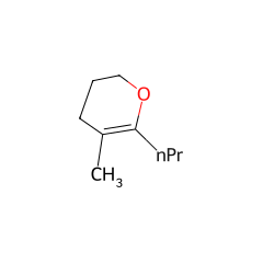 CCCC1=C(C)CCCO1